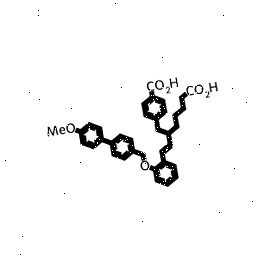 COc1ccc(-c2ccc(COc3ccccc3/C=C/C(CCCCC(=O)O)Cc3ccc(C(=O)O)cc3)cc2)cc1